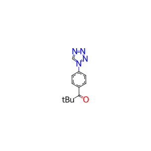 CC(C)(C)C(=O)c1ccc(-n2cnnn2)cc1